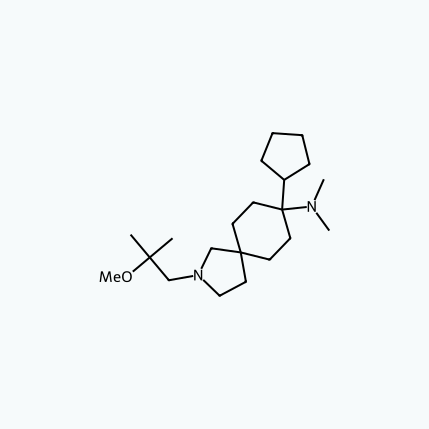 COC(C)(C)CN1CCC2(CCC(C3CCCC3)(N(C)C)CC2)C1